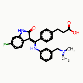 CN(C)Cc1cccc(NC(=C2C(=O)Nc3cc(F)ccc32)c2ccc(CCC(=O)O)cc2)c1